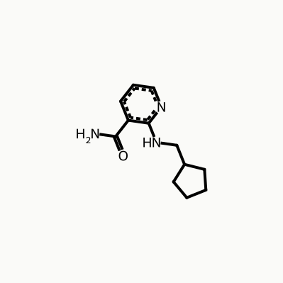 NC(=O)c1cccnc1NCC1CCCC1